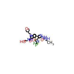 CCCNC(=O)Nc1cc(C2=NC(C(F)(F)F)CS2)c(-c2ccc3c(c2)c(=O)c(C(=O)NCCO)cn3CCC2CCOCC2)cn1